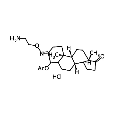 CC(=O)OC1/C(=N/OCCN)CC[C@@]2(C)C1CC[C@@H]1[C@H]2CC[C@]2(C)C(=O)CC[C@@H]12.Cl